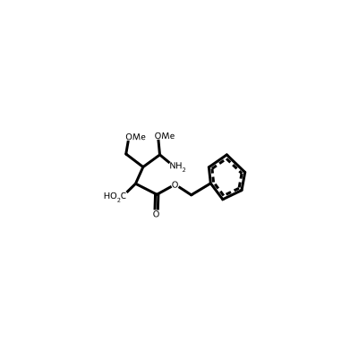 COCC(C(N)OC)C(C(=O)O)C(=O)OCc1ccccc1